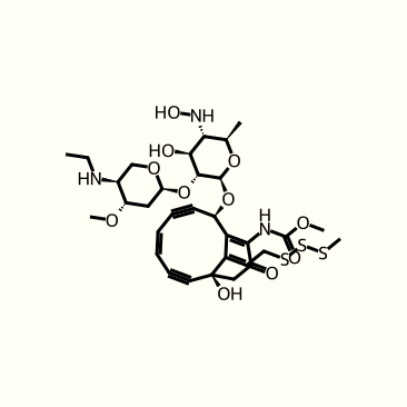 CCN[C@H]1CO[C@@H](O[C@H]2[C@H](O[C@@H]3C#C/C=C\C#C[C@@]4(O)CC(=O)C(NC(=O)OC)=C3/C4=C\CSSSC)O[C@H](C)[C@@H](NO)[C@@H]2O)C[C@@H]1OC